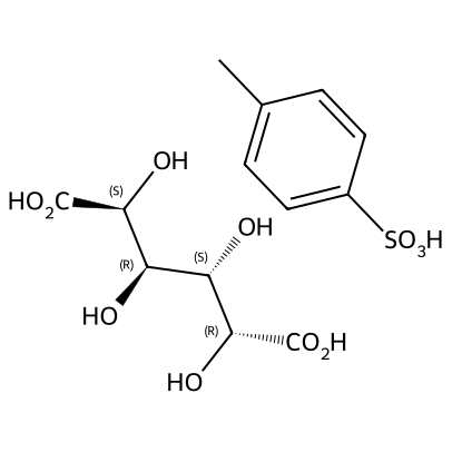 Cc1ccc(S(=O)(=O)O)cc1.O=C(O)[C@@H](O)[C@H](O)[C@H](O)[C@@H](O)C(=O)O